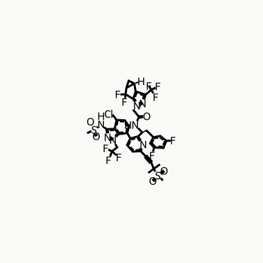 CC(C)(C#Cc1ccc(-c2ccc(Cl)c3c(NS(C)(=O)=O)nn(CC(F)(F)F)c23)c([C@H](Cc2cc(F)cc(F)c2)NC(=O)Cn2nc(C(F)(F)F)c3c2C(F)(F)C2C[C@H]32)n1)S(C)(=O)=O